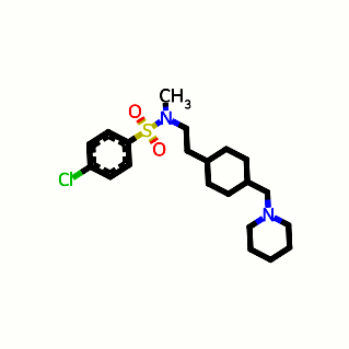 CN(CCC1CCC(CN2CCCCC2)CC1)S(=O)(=O)c1ccc(Cl)cc1